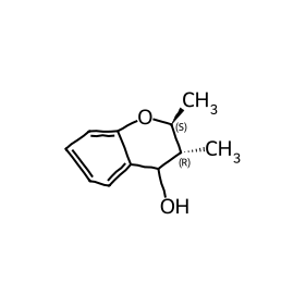 C[C@@H]1Oc2ccccc2C(O)[C@H]1C